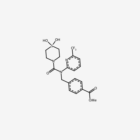 COC(=O)c1ccc(CN(C(=O)N2CCS(O)(O)CC2)c2cccc(C(F)(F)F)n2)cc1